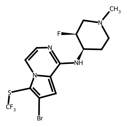 CN1CC[C@@H](Nc2nccn3c(SC(F)(F)F)c(Br)cc23)[C@@H](F)C1